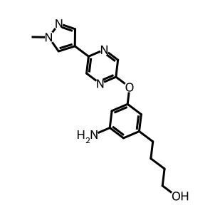 Cn1cc(-c2cnc(Oc3cc(N)cc(CCCCO)c3)cn2)cn1